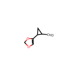 O=CC1CC1C1=COCO1